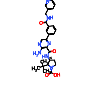 CC(C)(C)C1[C@@H](NC(=O)c2nc(-c3cccc(C(=O)NCc4cccnc4)c3)cnc2N)CCN1C(=O)O